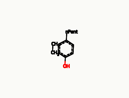 CC.CCCCCc1ccc(O)cc1